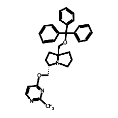 FC(F)(F)c1nccc(OC[C@@H]2CC[C@]3(COC(c4ccccc4)(c4ccccc4)c4ccccc4)CCCN23)n1